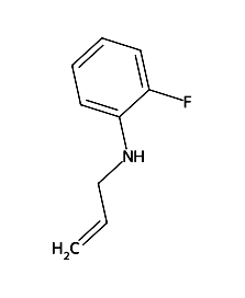 C=CCNc1ccccc1F